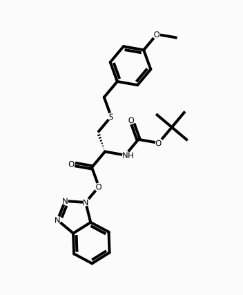 COc1ccc(CSC[C@H](NC(=O)OC(C)(C)C)C(=O)On2nnc3ccccc32)cc1